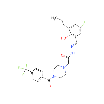 CCCc1cc(F)cc(C=NNC(=O)CN2CCN(C(=O)c3ccc(C(F)(F)F)cc3)CC2)c1O